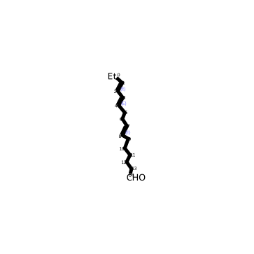 CC/C=C/C=C/CC/C=C/CCCCCC=O